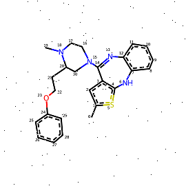 Cc1cc2c(s1)Nc1ccccc1N=C2N1CCN(C)C(CCOc2ccccc2)C1